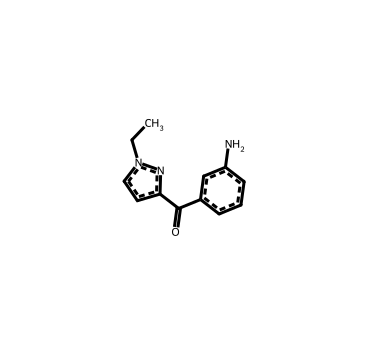 CCn1ccc(C(=O)c2cccc(N)c2)n1